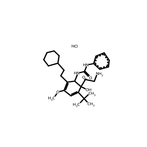 COC1=C(CCC2CCCCC2)C(NC(=O)Nc2ccccc2)C(O)(C(=O)CN)C(C(C)(C)C)=C1.Cl